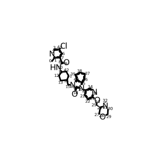 Cc1ncc(Cl)cc1C(=O)NC1CCC(Cn2c(=O)n(-c3ccc(OC[C@@H]4COCCN4C)nc3)c3ccccc32)CC1